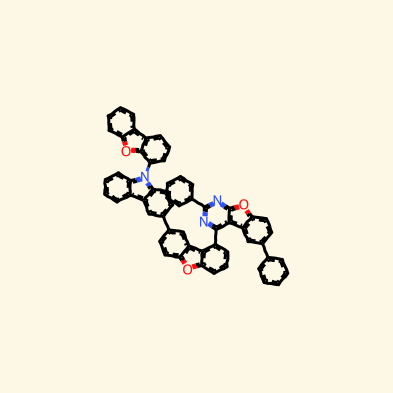 c1ccc(-c2ccc3oc4nc(-c5ccccc5)nc(-c5cccc6oc7ccc(-c8ccc9c(c8)c8ccccc8n9-c8cccc9c8oc8ccccc89)cc7c56)c4c3c2)cc1